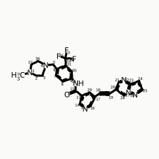 CN1CCN(Cc2ccc(NC(=O)c3cncc(C#Cc4cnc5ccnn5c4)c3)cc2C(F)(F)F)CC1